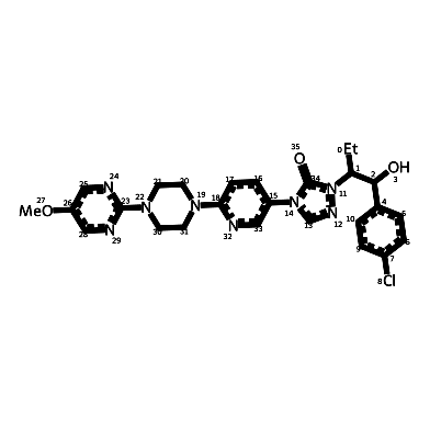 CCC(C(O)c1ccc(Cl)cc1)n1ncn(-c2ccc(N3CCN(c4ncc(OC)cn4)CC3)nc2)c1=O